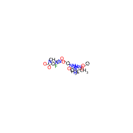 CC(C(=O)Nc1ccc(COC(=O)N2CCN(c3cc4c(cc3F)c(=O)c(C=O)cn4C)CC2)cc1)c1nnc([C@@H](NC(=O)OCc2ccccc2)C(C)C)[nH]1